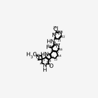 CN1CC2(CNC(=O)c3c2[nH]c2c3CCc3cnc(Nc4ccnc(Cl)n4)c(F)c3-2)C1